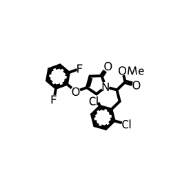 COC(=O)C(Cc1c(Cl)cccc1Cl)N1CC(Oc2c(F)cccc2F)=CC1=O